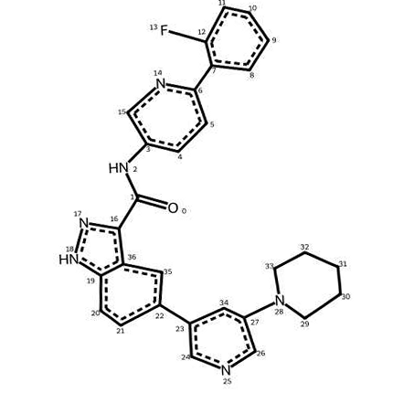 O=C(Nc1ccc(-c2ccccc2F)nc1)c1n[nH]c2ccc(-c3cncc(N4CCCCC4)c3)cc12